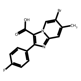 Cc1cc2nc(-c3ccc(F)cc3)c(C(=O)O)n2cc1Br